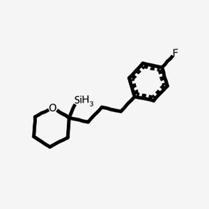 Fc1ccc(CCCC2([SiH3])CCCCO2)cc1